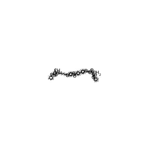 C=C(CC(=O)OC1CCCCC1)C(=O)OCCCCCCOc1ccc(OC(=O)c2ccc(-c3ccc(OCCOC(=O)C(=C)CC(=O)OC4CCCCC4)cc3)cc2)cc1